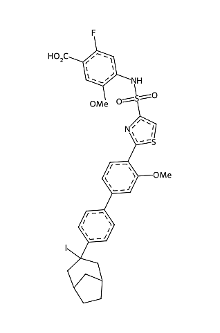 COc1cc(C(=O)O)c(F)cc1NS(=O)(=O)c1csc(-c2ccc(-c3ccc(C4(I)CC5CCC(C5)C4)cc3)cc2OC)n1